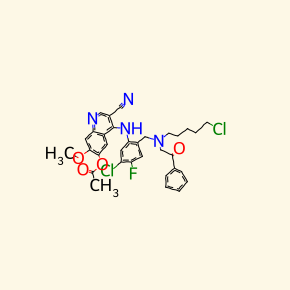 COc1cc2ncc(C#N)c(Nc3cc(Cl)c(F)cc3CN(CCCCCCl)CC(=O)c3ccccc3)c2cc1OC(C)=O